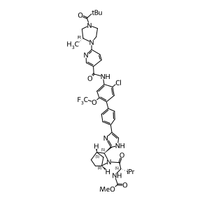 COC(=O)N[C@H](C(=O)N1[C@@H]2CC[C@@H](C2)[C@H]1c1nc(-c2ccc(-c3cc(Cl)c(NC(=O)c4ccc(N5CCN(C(=O)C(C)(C)C)C[C@H]5C)nc4)cc3OC(F)(F)F)cc2)c[nH]1)C(C)C